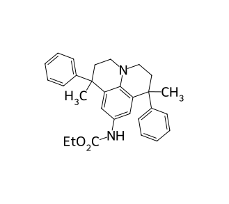 CCOC(=O)Nc1cc2c3c(c1)C(C)(c1ccccc1)CCN3CCC2(C)c1ccccc1